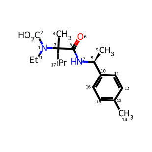 CCN(C(=O)O)C(C)(C(=O)N[C@@H](C)c1ccc(C)cc1)C(C)C